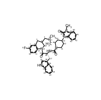 CN(C)CC1Cc2cc(F)ccc2N(C(=O)[C@@H](Cc2c[nH]c3ccccc23)NC(=O)N2CCC(n3c(=O)n(C)c4ccccc43)CC2)C1